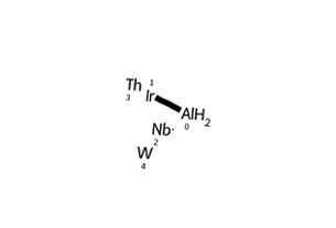 [AlH2][Ir].[Nb].[Th].[W]